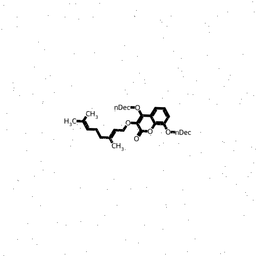 CCCCCCCCCCOc1c(OC/C=C(\C)CCC=C(C)C)c(=O)oc2c(OCCCCCCCCCC)cccc12